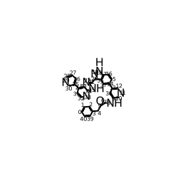 c1ccc(CC2OC2Nc2cncc(-c3ccc4[nH]nc(-c5nc6c(-c7cccnc7)ccnc6[nH]5)c4c3)c2)cc1